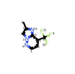 Cc1cn2nccc(C(F)(F)F)c2n1